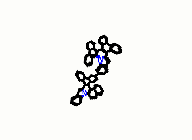 c1ccc2c(c1)ccc1c2c2c3ccc(-c4ccc5cc6c7c8ccccc8c8ccccc8c7c7c8ccccc8c8ccccc8c7n6c5c4)cc3c3ccccc3c2c2cc3ccccc3n12